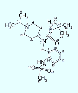 CC(C)N1CCC(N(Cc2ccccc2NS(C)(=O)=O)C(=O)OC(C)(C)C)CC1